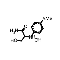 CSc1ccc(NC(CO)C(N)=O)cc1.Cl